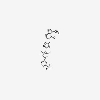 Cn1cnc2ncn(Cc3nc([C@H]4[C@@H]5CN(c6cccc(C(F)(F)F)c6)C[C@@H]54)no3)c(=O)c21